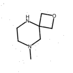 CN1CCNC2(COC2)C1